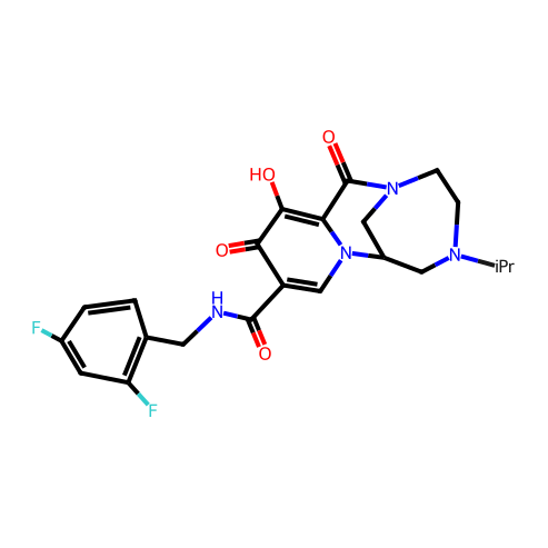 CC(C)N1CCN2CC(C1)n1cc(C(=O)NCc3ccc(F)cc3F)c(=O)c(O)c1C2=O